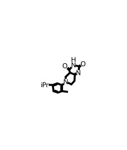 Cc1ccc(C(C)C)cc1N1CCC2=NC(=O)NC(=O)C2C1